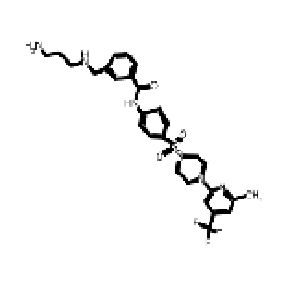 Cc1cc(C(F)(F)F)cc(N2CCN(S(=O)(=O)c3ccc(NC(=O)c4cccc(CNCCCN)c4)cc3)CC2)n1